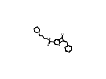 O=C(NCCCN1CCCC1)c1cnc2c(c1)C(=O)C2=Cc1ccccc1